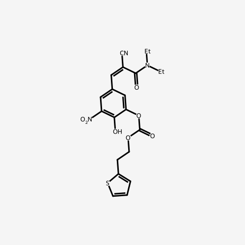 CCN(CC)C(=O)C(C#N)=Cc1cc(OC(=O)OCCc2cccs2)c(O)c([N+](=O)[O-])c1